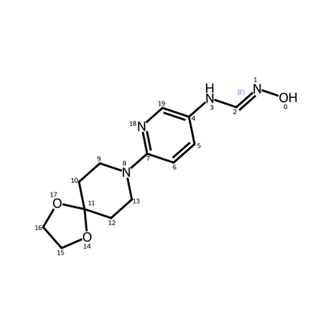 O/N=C/Nc1ccc(N2CCC3(CC2)OCCO3)nc1